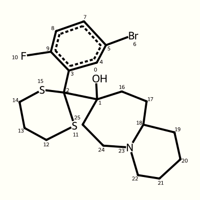 OC1(C2(c3cc(Br)ccc3F)SCCCS2)CCC2CCCCN2CC1